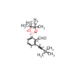 CC1(C)OB(c2cccc(C#C[Si](C)(C)C)c2C=O)OC1(C)C